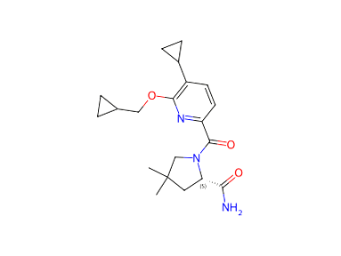 CC1(C)C[C@@H](C(N)=O)N(C(=O)c2ccc(C3CC3)c(OCC3CC3)n2)C1